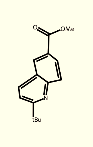 COC(=O)c1ccc2nc(C(C)(C)C)ccc2c1